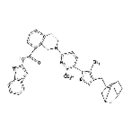 Cc1c(-c2ccc(N3CCc4cccc(C(=O)Nc5nc6ccccc6s5)c4C3)nc2C(=O)O)nnn1CC12CC3CC(CC(C3)O1)C2